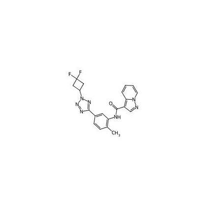 Cc1ccc(-c2nnn(C3CC(F)(F)C3)n2)cc1NC(=O)c1cnn2ccccc12